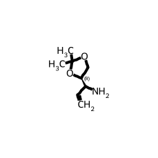 C=CC(N)[C@@H]1COC(C)(C)O1